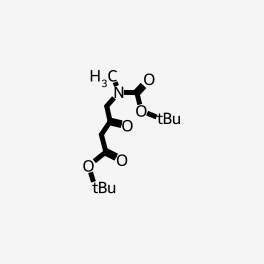 CN(CC(=O)CC(=O)OC(C)(C)C)C(=O)OC(C)(C)C